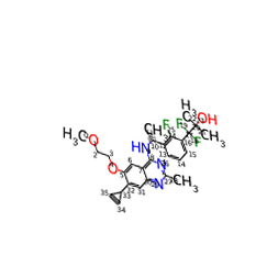 COCCOc1cc2c(N[C@H](C)c3cccc(C(F)(F)C(C)(C)O)c3F)nc(C)nc2cc1C1C#C1